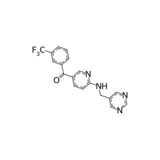 O=C(c1ccc(NCc2cncnc2)nc1)c1cccc(C(F)(F)F)c1